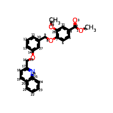 COC(=O)c1ccc(OCc2cccc(OCc3ccc4ccccc4n3)c2)c(OC)c1